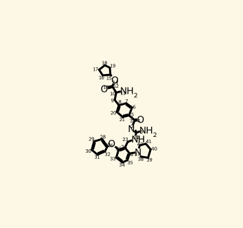 N/C(=N\C(=O)c1ccc(CC(N)C(=O)OC2CCCC2)cc1)NCc1c(Oc2ccccc2)cccc1N1CCCCC1